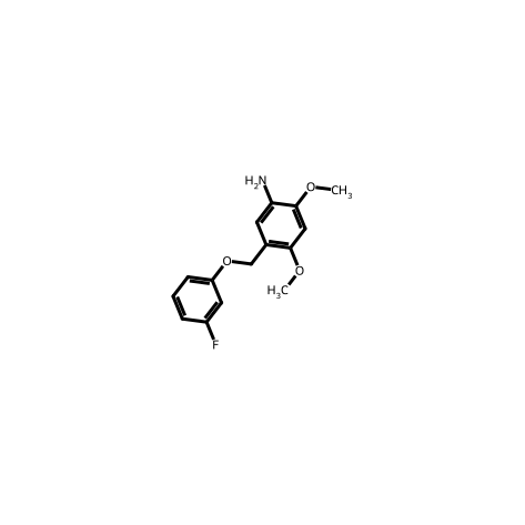 COc1cc(OC)c(COc2cccc(F)c2)cc1N